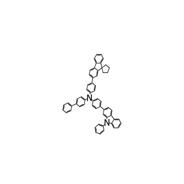 c1ccc(-c2ccc(N(c3ccc(-c4ccc5c(c4)C4(CCCC4)c4ccccc4-5)cc3)c3ccc(-c4ccc5c6ccccc6n(-c6ccccc6)c5c4)cc3)cc2)cc1